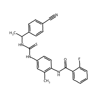 Cc1cc(NC(=S)NC(C)c2ccc(C#N)cc2)ccc1NC(=O)c1ccccc1F